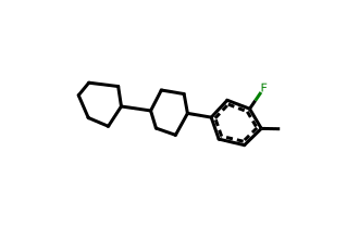 Cc1ccc(C2CCC(C3CCCCC3)CC2)cc1F